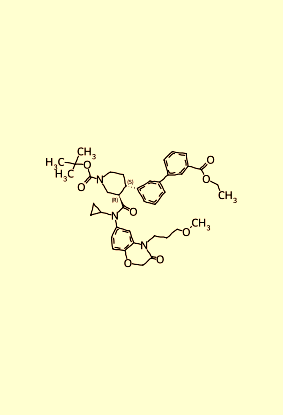 CCOC(=O)c1cccc(-c2cccc([C@H]3CCN(C(=O)OC(C)(C)C)C[C@@H]3C(=O)N(c3ccc4c(c3)N(CCCOC)C(=O)CO4)C3CC3)c2)c1